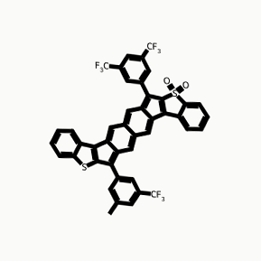 Cc1cc(C2=c3cc4cc5c(cc4cc3-c3c2sc2ccccc32)=C(c2cc(C(F)(F)F)cc(C(F)(F)F)c2)C2=C5c3ccccc3S2(=O)=O)cc(C(F)(F)F)c1